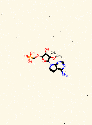 CO[C@]1(C)C(O)[C@@H](OCP(=O)(O)O)O[C@H]1n1ccc2c(N)ncnc21